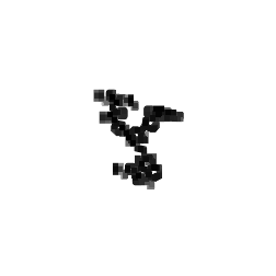 COc1ccc(-c2cc(N3CCC(NC(=O)CN(C)C)C3)nc(/C=C/c3nc(N(C)C)c4ccccc4n3)n2)cc1OC